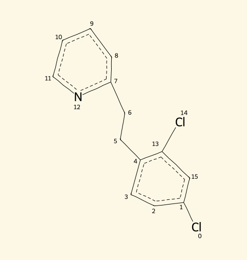 Clc1ccc(CCc2ccccn2)c(Cl)c1